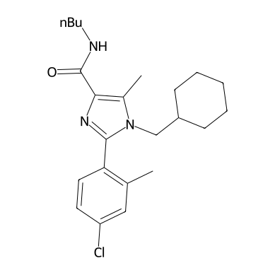 CCCCNC(=O)c1nc(-c2ccc(Cl)cc2C)n(CC2CCCCC2)c1C